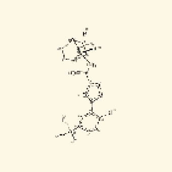 C[C@H]1[C@H](NC(=O)c2ccc(-c3cc(C(F)(F)F)ccc3Cl)o2)C2CCN1CC2